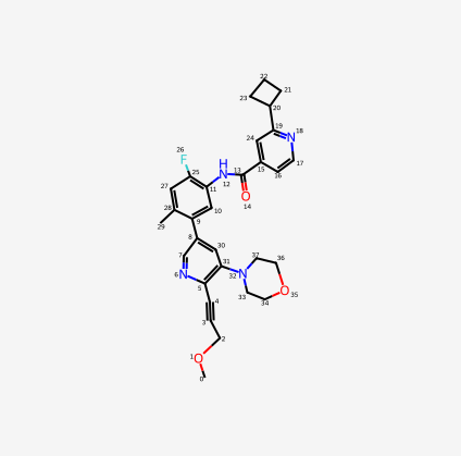 COCC#Cc1ncc(-c2cc(NC(=O)c3ccnc(C4CCC4)c3)c(F)cc2C)cc1N1CCOCC1